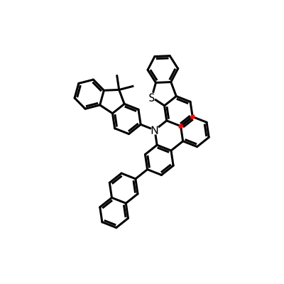 CC1(C)c2ccccc2-c2ccc(N(c3cc(-c4ccc5ccccc5c4)ccc3-c3ccccc3)c3cccc4c3sc3ccccc34)cc21